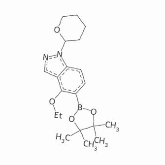 CCOc1c(B2OC(C)(C)C(C)(C)O2)ccc2c1cnn2C1CCCCO1